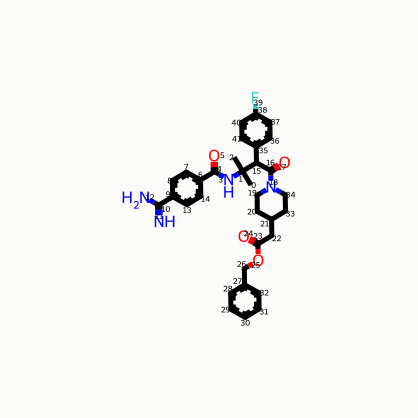 CC(C)(NC(=O)c1ccc(C(=N)N)cc1)C(C(=O)N1CCC(CC(=O)OCc2ccccc2)CC1)c1ccc(F)cc1